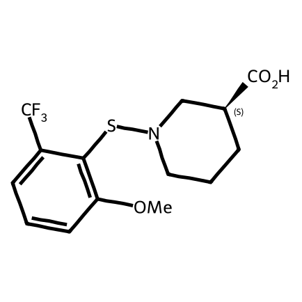 COc1cccc(C(F)(F)F)c1SN1CCC[C@H](C(=O)O)C1